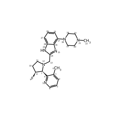 Cc1cccnc1[C@H]1[C@@H](F)CCN1Cc1nc2c(N3CCN(C)CC3)cccc2[nH]1